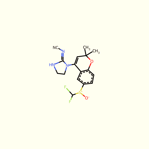 CC1(C)C=C(N2CCNC2=NC#N)c2cc([S+]([O-])C(F)F)ccc2O1